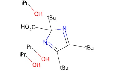 CC(C)(C)C1=NC(C(=O)O)(C(C)(C)C)N=C1C(C)(C)C.CC(C)O.CC(C)O.CC(C)O